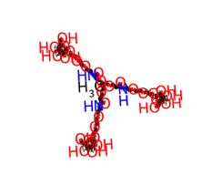 CC(COCCC(=O)NCCOCCOCCO[C@H]1OC(CO)[C@@H](O)[C@H](O)C1O)(COCCC(=O)NCCOCCOCCO[C@H]1OC(CO)[C@@H](O)[C@H](O)C1O)OCC(=O)NCCOCCOCCO[C@H]1OC(CO)[C@@H](O)[C@H](O)C1O